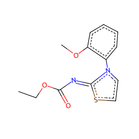 CCOC(=O)N=c1sccn1-c1ccccc1OC